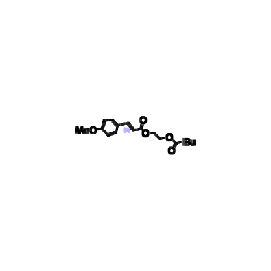 CCC(C)C(=O)OCCOC(=O)/C=C/c1ccc(OC)cc1